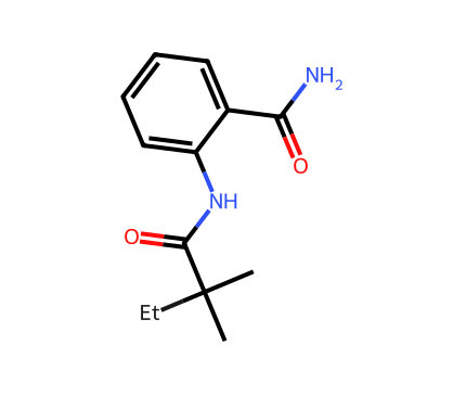 CCC(C)(C)C(=O)Nc1ccccc1C(N)=O